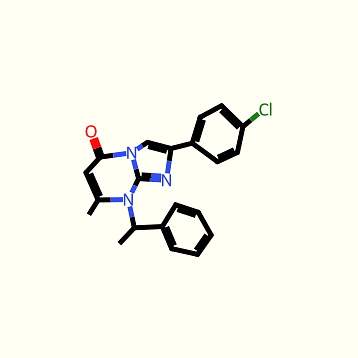 Cc1cc(=O)n2cc(-c3ccc(Cl)cc3)nc2n1C(C)c1ccccc1